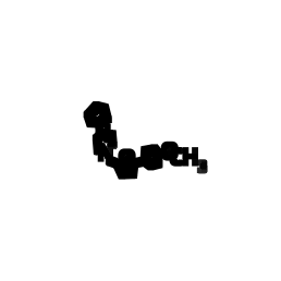 COc1ccc(-c2ccc(CN3CCN(c4ccccc4)CC3)o2)cc1